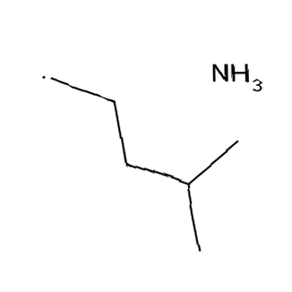 N.[CH2]CCC(C)C